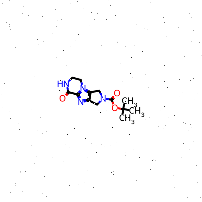 CC(C)(C)OC(=O)N1Cc2nc3n(c2C1)CCNC3=O